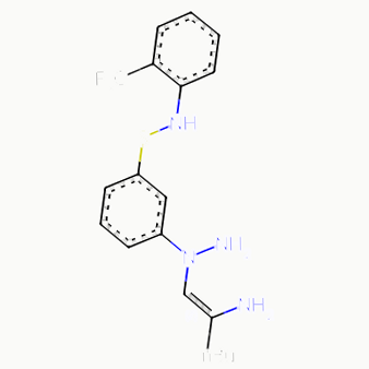 CCCC/C(N)=C/N(N)c1cccc(SNc2ccccc2C(F)(F)F)c1